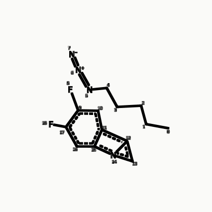 CCCCCN=[N+]=[N-].Fc1cc2c3cn-3c2cc1F